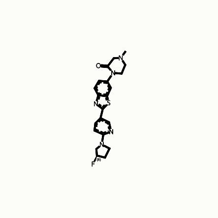 CN1CCN(c2ccc3nc(-c4ccc(N5CC[C@@H](F)C5)nc4)sc3c2)C(=O)C1